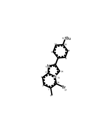 Cc1ccc2nc(-c3ccc(C(C)(C)C)cc3)cn2c1Br